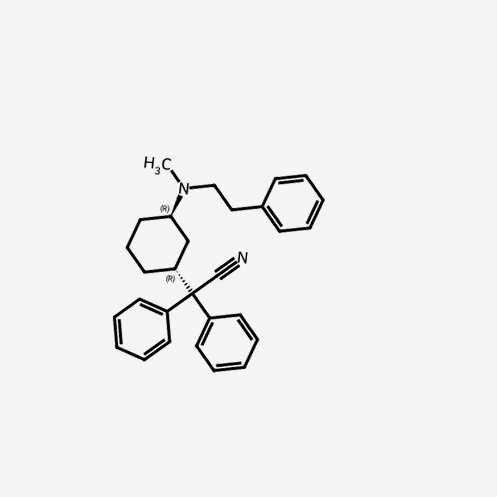 CN(CCc1ccccc1)[C@@H]1CCC[C@@H](C(C#N)(c2ccccc2)c2ccccc2)C1